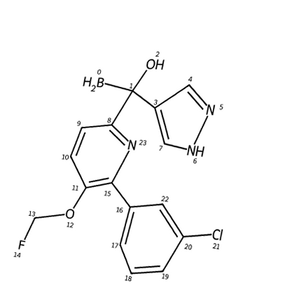 BC(O)(c1cn[nH]c1)c1ccc(OCF)c(-c2cccc(Cl)c2)n1